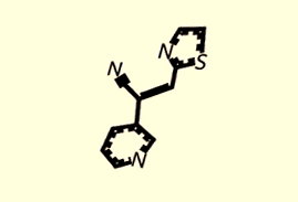 N#CC(=Cc1nccs1)c1cccnc1